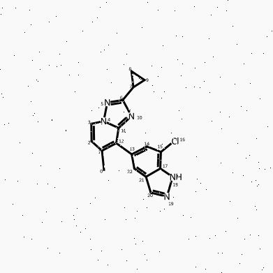 Cc1ccn2nc(C3CC3)nc2c1-c1cc(Cl)c2[nH]ncc2c1